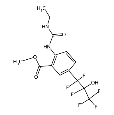 CCNC(=O)Nc1ccc(C(F)(F)C(O)(F)C(F)(F)F)cc1C(=O)OC